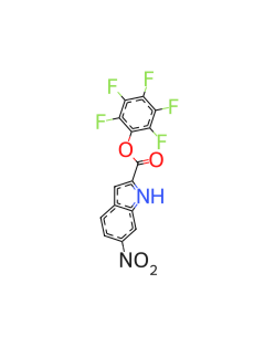 O=C(Oc1c(F)c(F)c(F)c(F)c1F)c1cc2ccc([N+](=O)[O-])cc2[nH]1